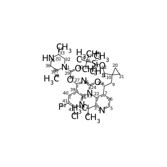 CC(C)c1nccc(CCC2(CO[Si](C)(C)C(C)(C)C)CC2)c1-n1c(=O)nc(OC(=O)N2C[C@H](C)NC[C@H]2C)c2cc(F)c(Cl)nc21